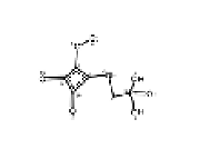 CCOc1c(NCP(=O)(O)O)c(=O)c1=O